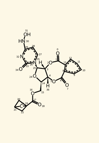 O=C1O[C@@H]2[C@H](OC(=O)c3ccccc31)[C@@H](COC(=O)C13CC(C1)C3)O[C@H]2n1ccc(NO)nc1=O